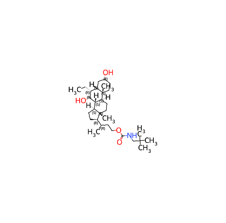 CC[C@H]1[C@@H](O)[C@@H]2[C@H](CC[C@]3(C)[C@@H]([C@H](C)CCOC(=O)NCC(C)(C)C)CC[C@@H]23)[C@@]2(C)CC[C@@H](O)C[C@@H]12